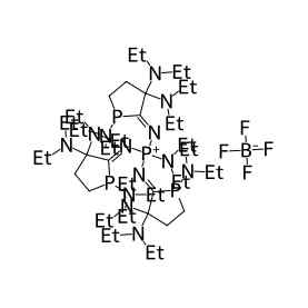 CCN(CC)P1CCC(N(CC)CC)(N(CC)CC)/C1=N/[P+](/N=C1\P(N(CC)CC)CCC1(N(CC)CC)N(CC)CC)(/N=C1\P(N(CC)CC)CCC1(N(CC)CC)N(CC)CC)N(CC)CC.F[B-](F)(F)F